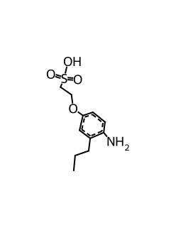 CCCc1cc(OCCS(=O)(=O)O)ccc1N